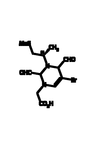 CSC[C@H](C)N1C(C=O)C(Br)=CN(CC(=O)O)C1C=O